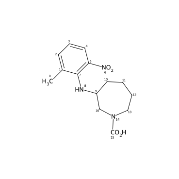 Cc1cccc([N+](=O)[O-])c1NC1CCCCN(C(=O)O)C1